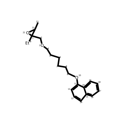 CCC1(COCCCCCCOc2cccc3ccccc23)OC1C